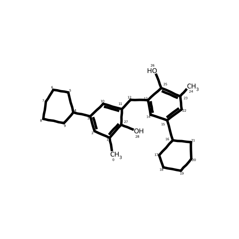 Cc1cc(C2CCCCC2)cc(Cc2cc(C3CCCCC3)cc(C)c2O)c1O